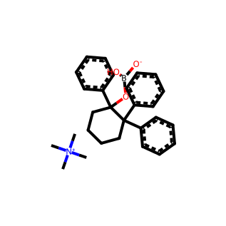 C[N+](C)(C)C.[O-]B(O)OC1(c2ccccc2)CCCCC1(c1ccccc1)c1ccccc1